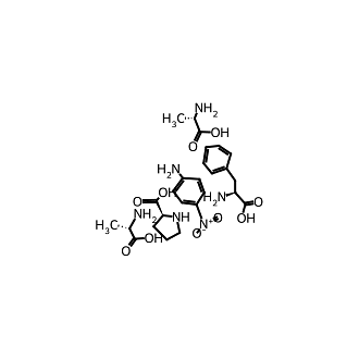 C[C@H](N)C(=O)O.C[C@H](N)C(=O)O.N[C@@H](Cc1ccccc1)C(=O)O.Nc1ccc([N+](=O)[O-])cc1.O=C(O)[C@@H]1CCCN1